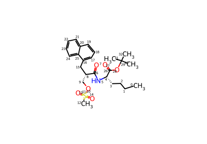 CCCC[C@H](NC(=O)[C@H](COS(C)(=O)=O)Cc1cccc2ccccc12)C(=O)OC(C)(C)C